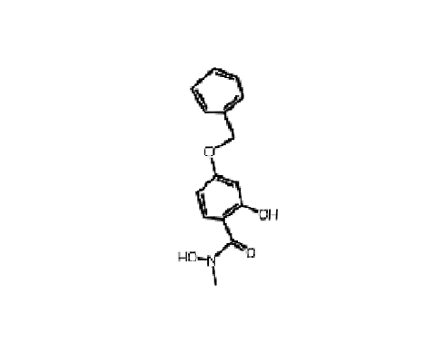 CN(O)C(=O)c1ccc(OCc2ccccc2)cc1O